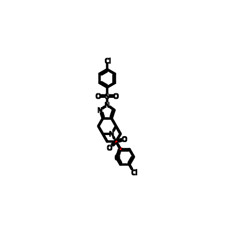 O=CC1CC2Cc3nn(S(=O)(=O)c4ccc(Cl)cc4)cc3C(C1)N2S(=O)(=O)c1ccc(Cl)cc1